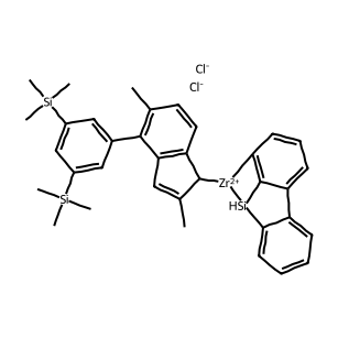 CC1=Cc2c(ccc(C)c2-c2cc([Si](C)(C)C)cc([Si](C)(C)C)c2)[CH]1[Zr+2]1[c]2cccc3c2[SiH]1c1ccccc1-3.[Cl-].[Cl-]